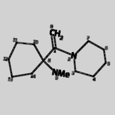 C=C(N1CCCCC1)C1(NC)CCCCC1